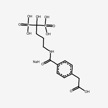 O=C(O)Cc1ccc(C(=O)NCCCC(O)(P(=O)(O)O)P(=O)(O)O)cc1.[NaH]